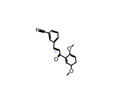 COC1=CCC(OC)C=C1C(=O)/C=C/c1cccc(C#N)c1